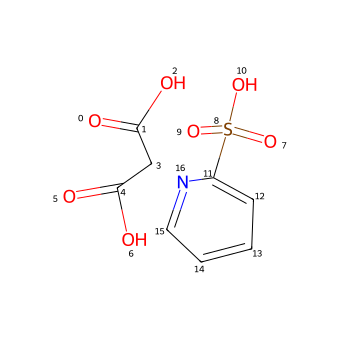 O=C(O)CC(=O)O.O=S(=O)(O)c1ccccn1